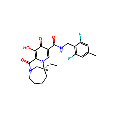 CC[C@]12CCCCN(C1)C(=O)c1c(O)c(=O)c(C(=O)NCc3c(F)cc(C)cc3F)cn12